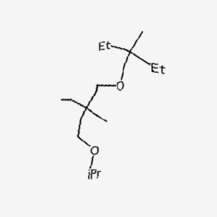 CCC(C)(CC)OCC(C)(C)COC(C)C